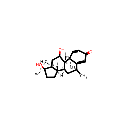 CC(=O)[C@@]1(O)CC[C@H]2[C@@H]3CC(C)C4=CC(=O)C=C[C@]4(C)[C@H]3C(O)C[C@@]21C